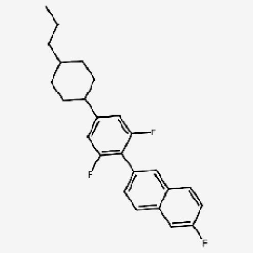 CCCC1CCC(c2cc(F)c(-c3ccc4cc(F)ccc4c3)c(F)c2)CC1